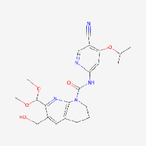 COC(OC)c1nc2c(cc1CO)CCCN2C(=O)Nc1cc(OC(C)C)c(C#N)cn1